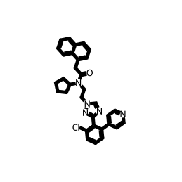 O=C(Cc1cccc2ccccc12)N(CCn1cnc(-c2c(Cl)cccc2-c2ccncc2)n1)C1CCCC1